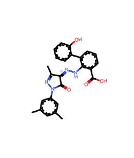 CC1=NN(c2cc(C)cc(C)c2)C(=O)/C1=N\Nc1c(C(=O)O)cccc1-c1ccccc1O